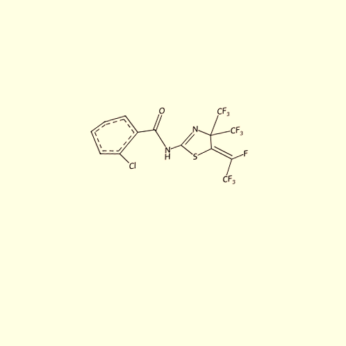 O=C(NC1=NC(C(F)(F)F)(C(F)(F)F)/C(=C(\F)C(F)(F)F)S1)c1ccccc1Cl